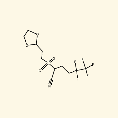 N#CC(CCC(F)(F)C(F)(F)F)S(=O)(=O)CCC1OCCO1